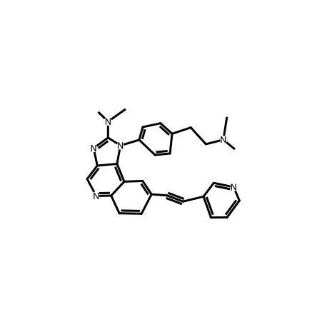 CN(C)CCc1ccc(-n2c(N(C)C)nc3cnc4ccc(C#Cc5cccnc5)cc4c32)cc1